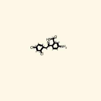 Nc1ccc2c(Cc3ccc(Cl)cc3Cl)n[nH]c(=O)c2c1